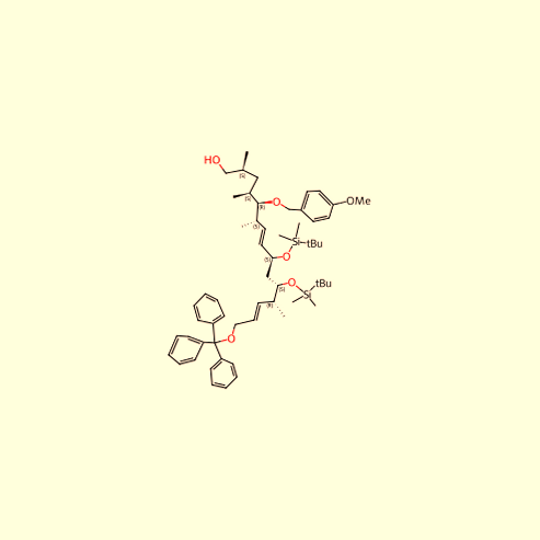 COc1ccc(CO[C@@H]([C@@H](C)C=C[C@H](C[C@H](O[Si](C)(C)C(C)(C)C)[C@H](C)C=CCOC(c2ccccc2)(c2ccccc2)c2ccccc2)O[Si](C)(C)C(C)(C)C)[C@@H](C)C[C@H](C)CO)cc1